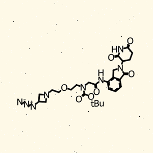 CC(C)(C)OC(=O)N(CCOCCN1CC(N=[N+]=[N-])C1)CC(=O)Nc1cccc2c1CN(C1CCC(=O)NC1=O)C2=O